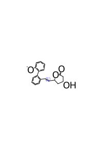 COc1ccccc1-c1ccccc1/C=C/C1CC(O)CC(=O)O1